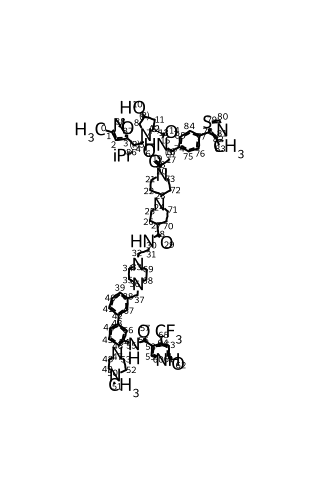 Cc1cc([C@H](C(=O)N2C[C@H](O)C[C@H]2C(=O)N[C@@H](CC(=O)N2CCC(N3CCC(C(=O)NCCN4CCN(Cc5cccc(-c6ccc(N7CCN(C)CC7)c(NC(=O)c7c[nH]c(=O)cc7C(F)(F)F)c6)c5)CC4)CC3)CC2)c2ccc(-c3scnc3C)cc2)C(C)C)on1